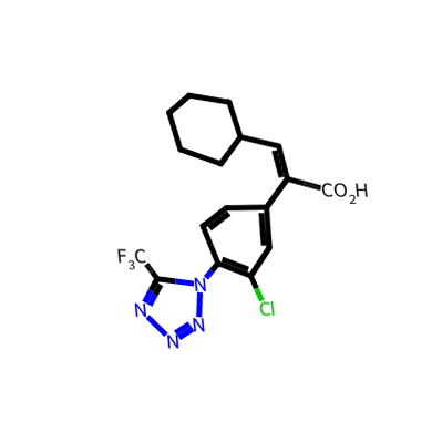 O=C(O)/C(=C/C1CCCCC1)c1ccc(-n2nnnc2C(F)(F)F)c(Cl)c1